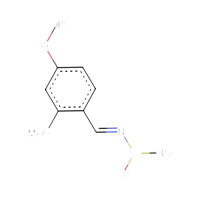 COc1cc(OC(C)C)ccc1C=N[S+]([O-])C(C)(C)C